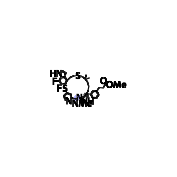 CN/C1=N\C(=N)[C@@](C)(c2cccc(CCC(=O)OC)c2)CCCC(C)(C)CSCCc2c(c(F)c(F)c3[nH]ccc23)Sc2ccnc1c2